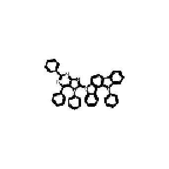 c1ccc(-c2nc(-c3ccccc3)c3c(n2)nc(-n2c4ccccc4c4c2ccc2c5ccccc5n(-c5ccccc5)c24)n3-c2ccccc2)cc1